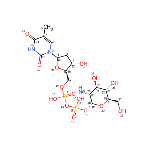 Cc1cn([C@H]2C[C@H](O)[C@@H](COP(=O)(O)OP(=O)(O)O[C@H]3O[C@H](CO)[C@@H](O)[C@H](O)[C@H]3N)O2)c(=O)[nH]c1=O